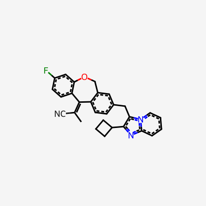 CC(C#N)=C1c2ccc(Cc3c(C4CCC4)nc4ccccn34)cc2COc2cc(F)ccc21